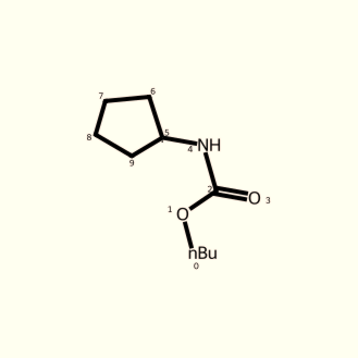 CCCCOC(=O)N[C]1CCCC1